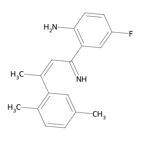 C/C(=C/C(=N)c1cc(F)ccc1N)c1cc(C)ccc1C